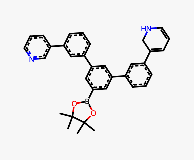 CC1(C)OB(c2cc(-c3cccc(C4=CC=CNC4)c3)cc(-c3cccc(-c4cccnc4)c3)c2)OC1(C)C